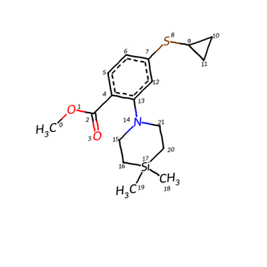 COC(=O)c1ccc(SC2CC2)cc1N1CC[Si](C)(C)CC1